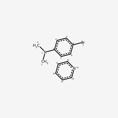 CN(C)c1ccc(Br)cc1.c1ccncc1